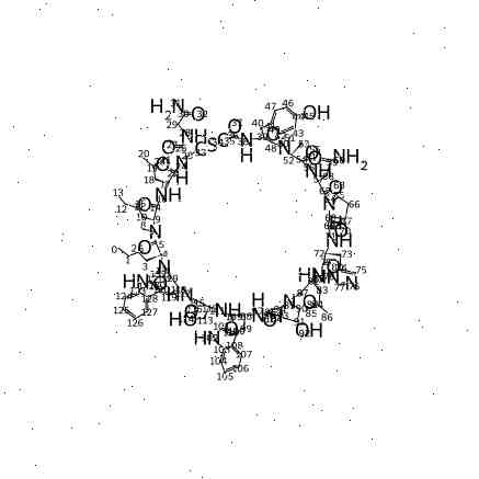 CCCC[C@H]1C(=O)N(C)[C@@H](CCCC)C(=O)N[C@@H](CC(C)C)C(=O)N[C@H](C(=O)NCC(N)=O)CSCC(=O)N[C@@H](Cc2ccc(O)cc2)C(=O)N(C)[C@@H](C)C(=O)N[C@@H](CC(N)=O)C(=O)N2CCC[C@H]2C(=O)N[C@@H](Cc2cnc[nH]2)C(=O)N[C@@H](CC(C)C)C(=O)N2C[C@H](O)C[C@H]2C(=O)N[C@@H](Cc2c[nH]c3ccccc23)C(=O)N[C@@H](CO)C(=O)N[C@@H](Cc2c[nH]c3ccccc23)C(=O)N1C